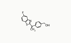 C=C(c1ccc(CO)cc1)c1nc2cc(F)ccc2s1